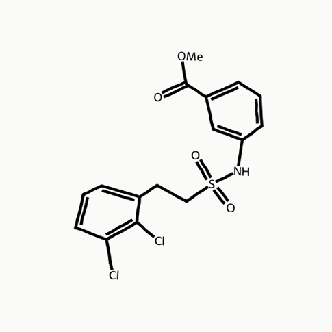 COC(=O)c1cccc(NS(=O)(=O)CCc2cccc(Cl)c2Cl)c1